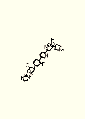 CN1CCC(O)(C2CC(c3ccc(-c4ccc(N5C[C@H](Cn6ccnn6)OC5=O)cc4F)cn3)=NO2)CC1